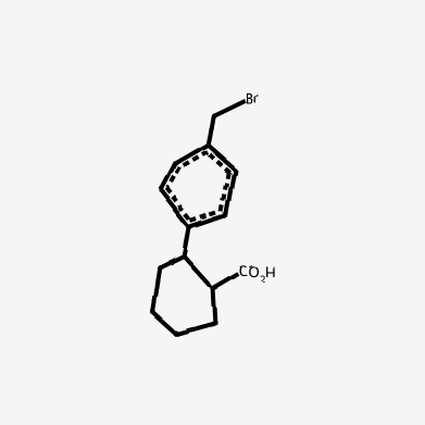 O=C(O)C1CCCCC1c1ccc(CBr)cc1